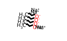 CCCC[O-].CCCC[O-].CCCC[O-].CCCC[O-].[Na+].[Na+].[Na+].[Na+]